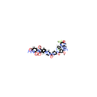 COc1cc(C(=O)NC2CCN(C(=O)N3CCN(c4ccc5c(c4)C(=O)N(C4CCC(=O)NC4=O)C5=O)CC3)CC2)c(F)cc1Nc1ncc2c(n1)N(C1CCCC1)CC(F)(F)C(=O)N2C